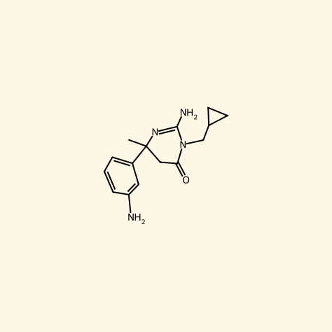 CC1(c2cccc(N)c2)CC(=O)N(CC2CC2)C(N)=N1